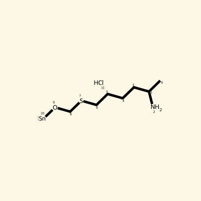 CC(N)CCCCSC[O][Sn].Cl